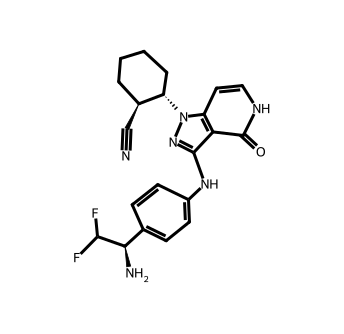 N#C[C@H]1CCCC[C@@H]1n1nc(Nc2ccc([C@@H](N)C(F)F)cc2)c2c(=O)[nH]ccc21